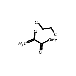 C=C(Cl)C(=O)OC.ClCCCl